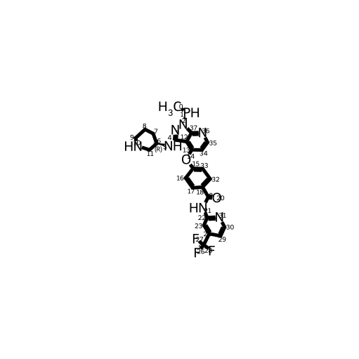 CPn1nc(N[C@@H]2CCCNC2)c2c(Oc3ccc(C(=O)Nc4cc(C(F)(F)F)ccn4)cc3)ccnc21